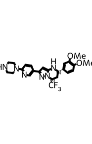 COc1ccc([C@@H]2C[C@H](C(F)(F)F)n3nc(-c4ccc(N5CCNCC5)nc4)cc3N2)cc1OC